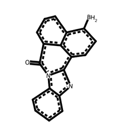 Bc1ccc2c3c1cccc3c(=O)n1c3ccccc3nc21